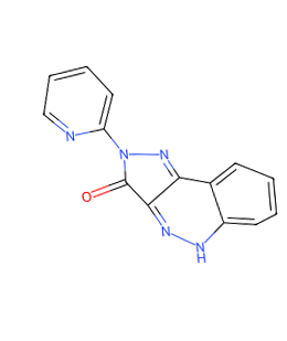 O=c1c2n[nH]c3ccccc3c-2nn1-c1ccccn1